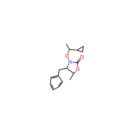 CC(ON1C(=O)OC(C)C1Cc1ccccc1)C1CC1